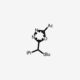 CC(=O)c1nnc(C(C(C)C)C(C)(C)C)o1